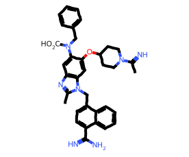 CC(=N)N1CCC(Oc2cc3c(cc2N(Cc2ccccc2)C(=O)O)nc(C)n3Cc2ccc(C(=N)N)c3ccccc23)CC1